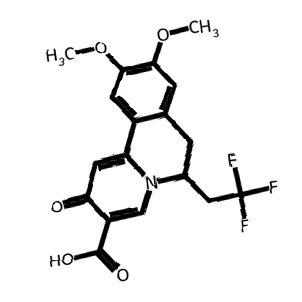 COc1cc2c(cc1OC)-c1cc(=O)c(C(=O)O)cn1C(CC(F)(F)F)C2